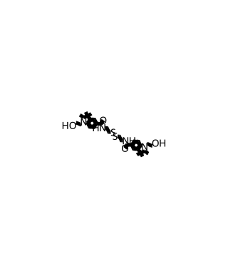 CC1=[N+](CCO)c2ccc(C(=O)NCCSSCCNC(=O)c3ccc4c(c3)C(C)(C)C(C)=[N+]4CCO)cc2C1(C)C